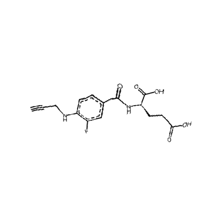 C#CCNc1ccc(C(=O)N[C@H](CCC(=O)O)C(=O)O)cc1F